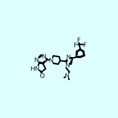 CN(C)CCn1cc(-c2cccc(C(F)(F)F)c2)nc1C1CCN(c2ncnc3c2CC(=O)N3)CC1